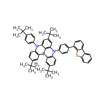 CC(C)(C)c1ccc(N2c3ccc(C(C)(C)C)cc3B3c4cc(C(C)(C)C)ccc4N(c4ccc(-c5cccc6c5sc5ccccc56)cc4)c4cc(C(C)(C)C)cc2c43)cc1